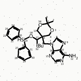 CC1(C)OCC(Cn2cnc3c(N)ncnc32)(C(O[SiH](c2ccccc2)c2ccccc2)C(C)(C)C)CO1